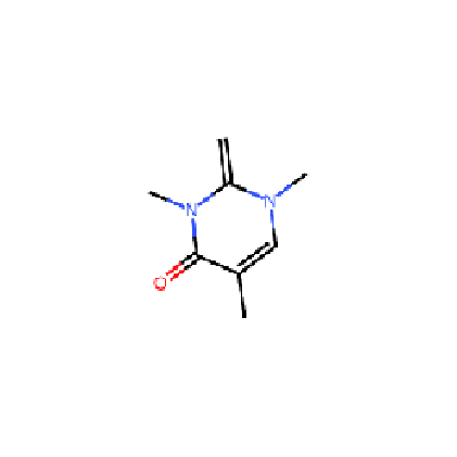 C=C1N(C)C=C(C)C(=O)N1C